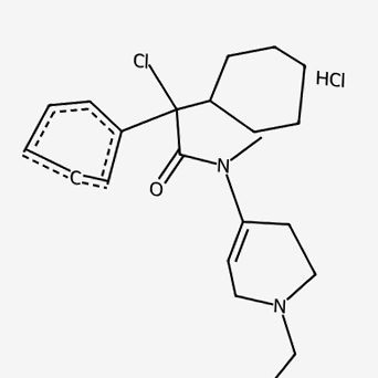 CCN1CC=C(N(C)C(=O)C(Cl)(c2ccccc2)C2CCCCC2)CC1.Cl